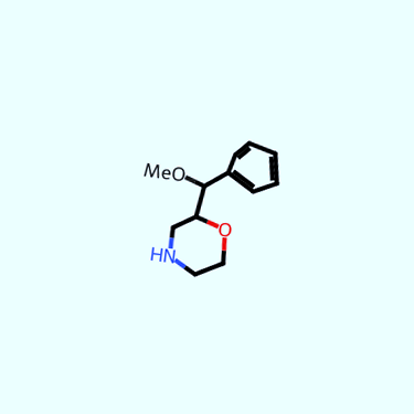 COC(c1ccccc1)C1CNCCO1